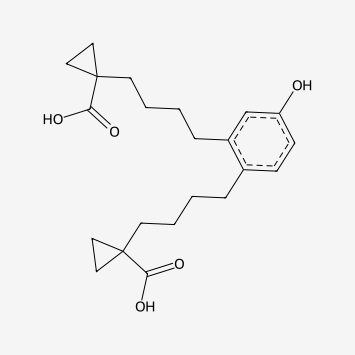 O=C(O)C1(CCCCc2ccc(O)cc2CCCCC2(C(=O)O)CC2)CC1